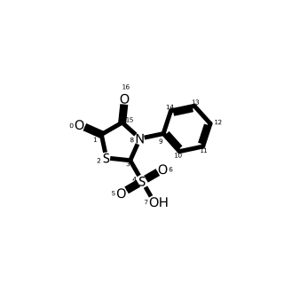 O=C1SC(S(=O)(=O)O)N(c2ccccc2)C1=O